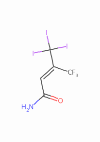 NC(=O)/C=C(\C(F)(F)F)C(I)(I)I